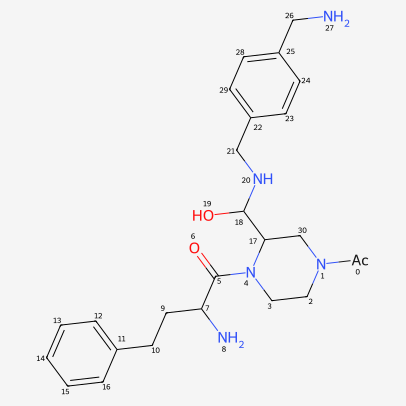 CC(=O)N1CCN(C(=O)C(N)CCc2ccccc2)C(C(O)NCc2ccc(CN)cc2)C1